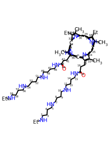 CCNCCCCNCCCCNCCCCNC(=O)CCC1=C(C)c2cc3[nH]c(cc4nc(cc5[nH]c(cc1n2)c(CCC(=O)NCCCCNCCCCNCCCCNCC)c5C)C(CC)=C4C)c(CC)c3C